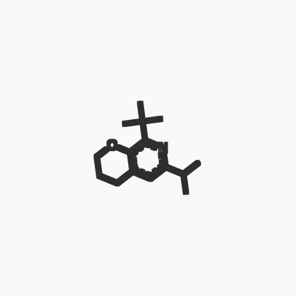 CC(C)c1cc2c(c(C(C)(C)C)n1)OCCC2